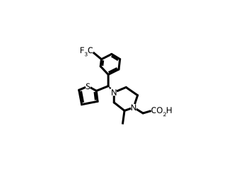 CC1CN([C@@H](c2cccc(C(F)(F)F)c2)c2cccs2)CCN1CC(=O)O